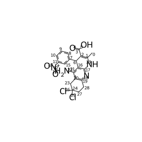 CC1=C(C(=O)O)C(c2cccc([N+](=O)[O-])c2)c2c(nc3c(c2N)CC(Cl)(Cl)CC3)N1